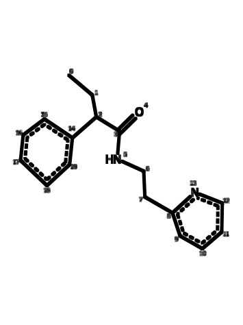 CCC(C(=O)NCCc1ccccn1)c1ccccc1